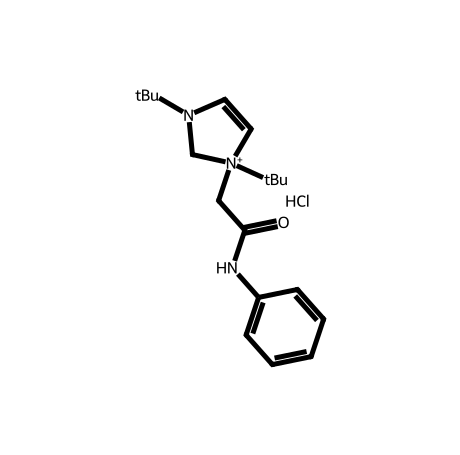 CC(C)(C)N1C=C[N+](CC(=O)Nc2ccccc2)(C(C)(C)C)C1.Cl